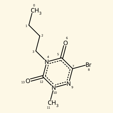 CCCCn1c(=O)c(Br)nn(C)c1=O